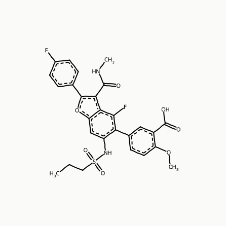 CCCS(=O)(=O)Nc1cc2oc(-c3ccc(F)cc3)c(C(=O)NC)c2c(F)c1-c1ccc(OC)c(C(=O)O)c1